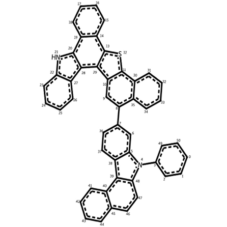 c1ccc(-n2c3cc(-c4cc5c(sc6c7ccccc7c7[nH]c8ccccc8c7c56)c5ccccc45)ccc3c3c4ccccc4ccc32)cc1